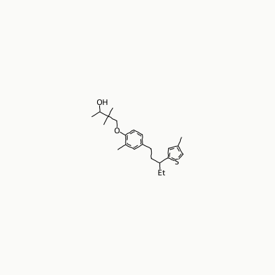 CCC(CCc1ccc(OCC(C)(C)C(C)O)c(C)c1)c1cc(C)cs1